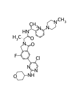 C[C@H](NC(=O)[C@@H](C)N1Cc2c(F)cc(-c3nc(NC4CCOCC4)ncc3Cl)cc2C1=O)c1cccc(N2CCN(C)CC2)n1